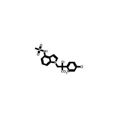 CCC(Cn1ccc2c(NS(C)(=O)=O)cccc21)(C(=O)O)c1ccc(Cl)cc1